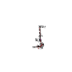 CCc1c2c(nc3ccc(O)cc13)-c1cc3c(c(=O)n1C2)COC(=O)C3OC(=O)CCCCN(N)/C=C(\N)CCCC(=O)NCCCOCCOCCOCCCNC